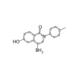 Bc1cn(-c2ccc(C)cc2)c(=O)c2ccc(O)cc12